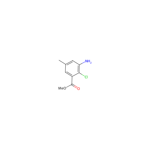 COC(=O)c1cc(C)cc(N)c1Cl